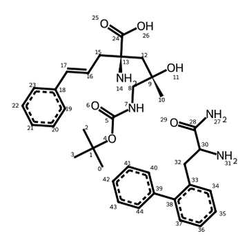 CC(C)(C)OC(=O)NC[C@@](C)(O)C[C@](N)(CC=Cc1ccccc1)C(=O)O.NC(=O)C(N)Cc1ccccc1-c1ccccc1